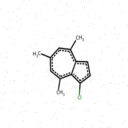 Cc1cc(C)c2ccc(Cl)c-2c(C)c1